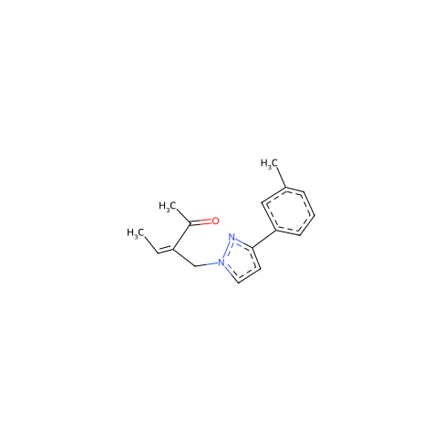 C/C=C(/Cn1ccc(-c2cccc(C)c2)n1)C(C)=O